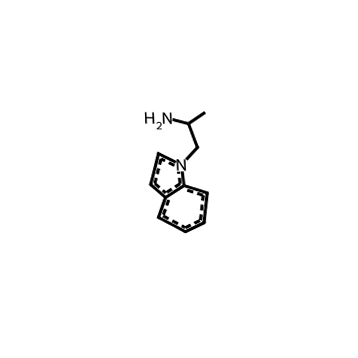 CC(N)Cn1ccc2ccccc21